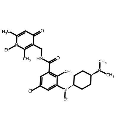 CCn1c(C)cc(=O)c(CNC(=O)c2cc(Cl)cc(N(CC)[C@H]3CC[C@H](N(C)C)CC3)c2C)c1C